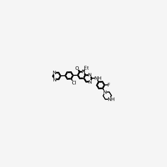 CCn1c(=O)c(-c2ccc(-c3cncnc3)cc2Cl)cc2cnc(Nc3ccc(N4CCNCC4)c(F)c3)nc21